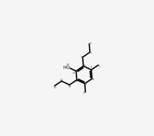 CCCc1c(C)cc(C)c(CCC)c1O